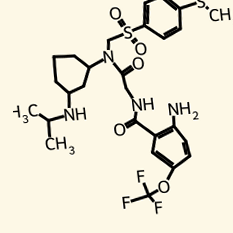 CSc1ccc(S(=O)(=O)CN(C(=O)CNC(=O)c2cc(OC(F)(F)F)ccc2N)C2CCCC(NC(C)C)C2)cc1